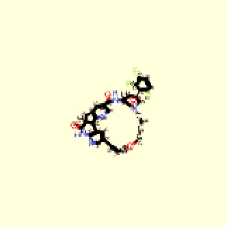 O=C1N[C@H]2C[C@@H](c3c(F)ccc(F)c3F)CN(CCCCCOC/C=C/c3cnc4c(c3)C3c5ncc1cc5C[C@@H]3C(=O)N4)C2=O